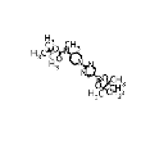 CN(C(=O)OC(C)(C)C)C1CCN(c2ncc(B3OC(C)(C)C(C)(C)O3)cn2)CC1